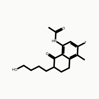 CC(=O)Nc1cc(F)c(C)c2c1C(=O)C(CCCCO)CC2